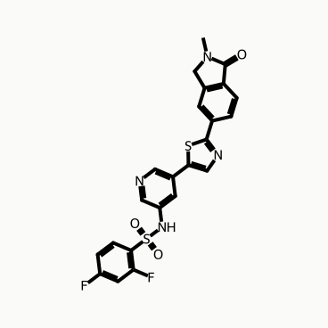 CN1Cc2cc(-c3ncc(-c4cncc(NS(=O)(=O)c5ccc(F)cc5F)c4)s3)ccc2C1=O